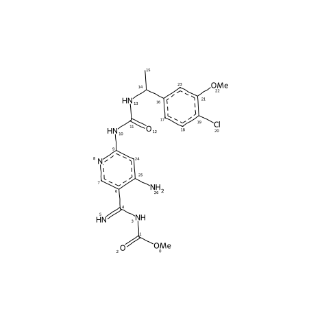 COC(=O)NC(=N)c1cnc(NC(=O)NC(C)c2ccc(Cl)c(OC)c2)cc1N